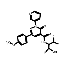 O=C(NC(C(O)F)C(F)F)c1cc(-c2ccc(OC(F)(F)F)cc2)nn(-c2cccnc2)c1=O